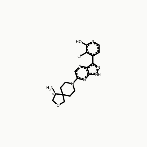 N[C@@H]1COCC12CCN(c1cnc3c(-c4ccnc(O)c4Cl)n[nH]c3n1)CC2